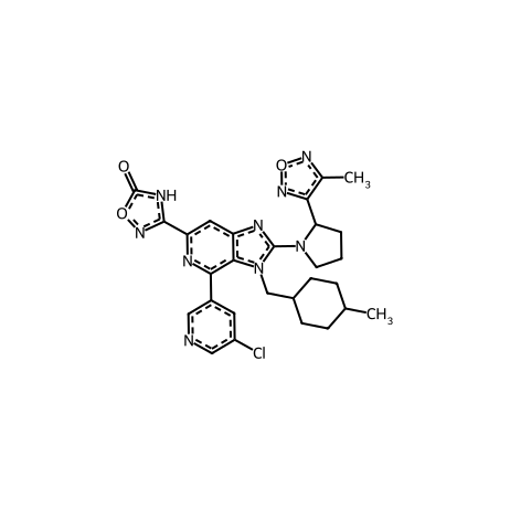 Cc1nonc1C1CCCN1c1nc2cc(-c3noc(=O)[nH]3)nc(-c3cncc(Cl)c3)c2n1CC1CCC(C)CC1